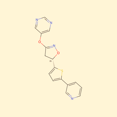 c1cncc(-c2ccc([C@@H]3CC(Oc4cncnc4)=NO3)s2)c1